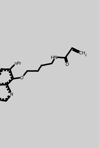 C=CC(=O)NCCCCOc1c(CCC)ccc2cccnc12